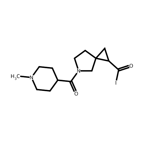 CN1CCC(C(=O)N2CCC3(CC3C(=O)I)C2)CC1